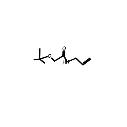 C=CCNC(=O)COC(C)(C)C